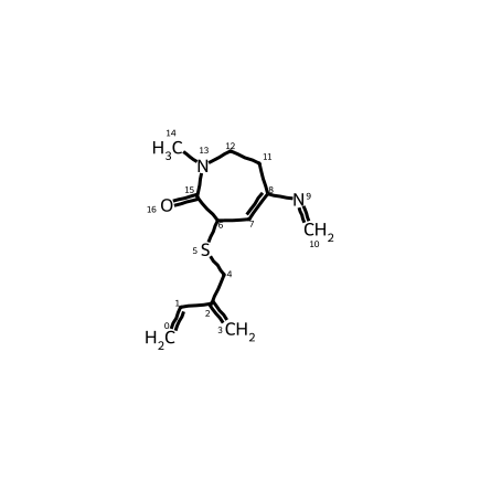 C=CC(=C)CSC1C=C(N=C)CCN(C)C1=O